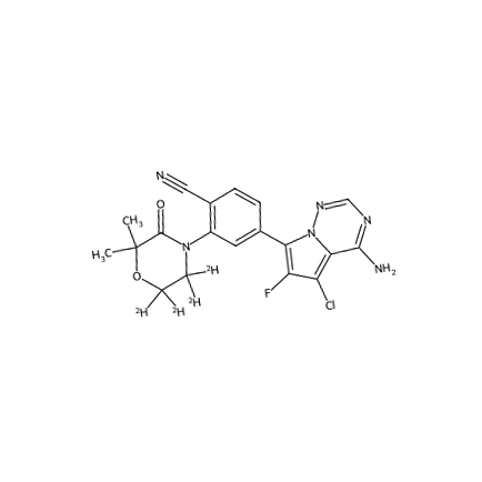 [2H]C1([2H])OC(C)(C)C(=O)N(c2cc(-c3c(F)c(Cl)c4c(N)ncnn34)ccc2C#N)C1([2H])[2H]